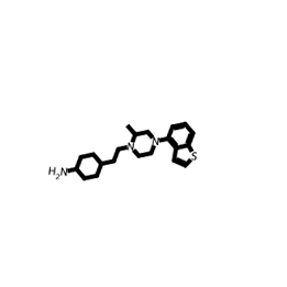 CC1CN(c2cccc3sccc23)CCN1CCC1CCC(N)CC1